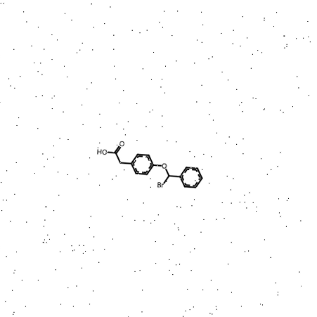 O=C(O)Cc1ccc(OC(Br)c2ccccc2)cc1